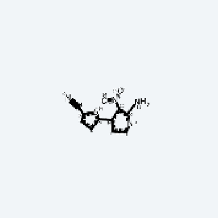 N#Cc1ccc(-c2ccnc(N)c2[N+](=O)[O-])s1